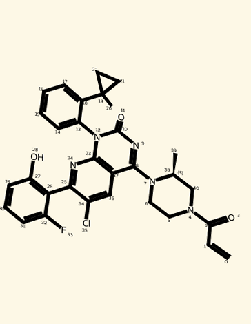 C=CC(=O)N1CCN(c2nc(=O)n(-c3ccccc3C3(C)CC3)c3nc(-c4c(O)cccc4F)c(Cl)cc23)[C@@H](C)C1